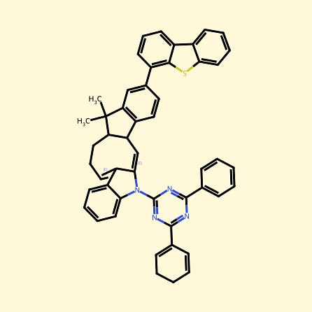 CC1(C)c2cc(-c3cccc4c3sc3ccccc34)ccc2C2/C=c3\c(c4ccccc4n3-c3nc(C4=CCCC=C4)nc(-c4ccccc4)n3)=C\CCC21